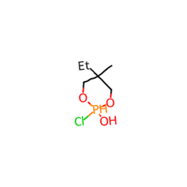 CCC1(C)CO[PH](O)(Cl)OC1